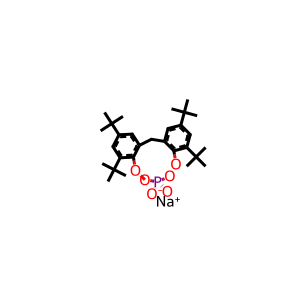 CC(C)(C)c1cc2c(c(C(C)(C)C)c1)OOP(=O)([O-])OOc1c(cc(C(C)(C)C)cc1C(C)(C)C)C2.[Na+]